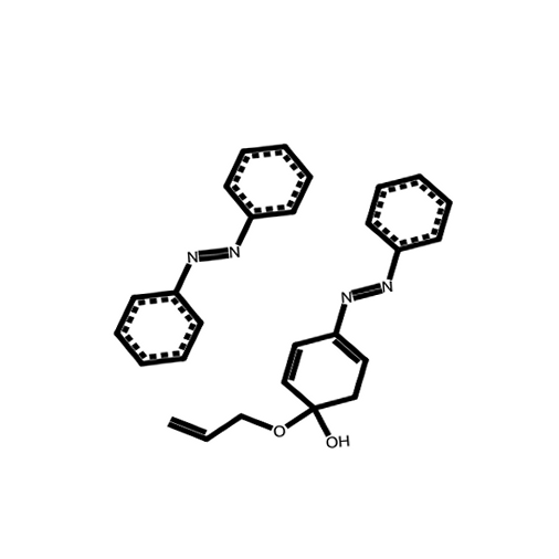 C=CCOC1(O)C=CC(N=Nc2ccccc2)=CC1.c1ccc(N=Nc2ccccc2)cc1